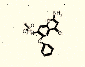 CS(=O)(=O)Nc1cc2oc(N)cc(=O)c2cc1Oc1ccccc1